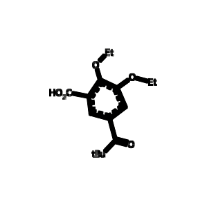 CCOc1cc(C(=O)C(C)(C)C)cc(C(=O)O)c1OCC